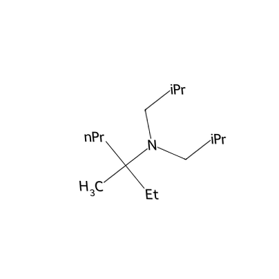 CCCC(C)(CC)N(CC(C)C)CC(C)C